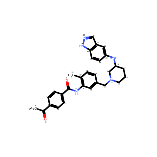 COC(=O)c1ccc(C(=O)Nc2cc(CN3CCCC(Nc4ccc5[nH]ncc5c4)C3)ccc2C)cc1